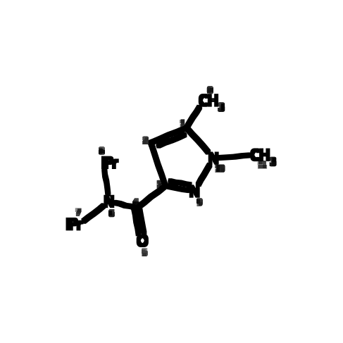 Cc1cc(C(=O)N(C(C)C)C(C)C)nn1C